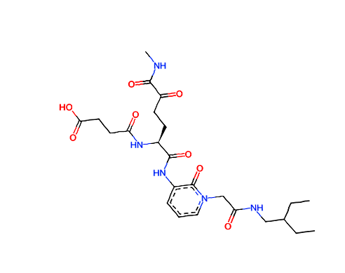 CCC(CC)CNC(=O)Cn1cccc(NC(=O)[C@H](CCC(=O)C(=O)NC)NC(=O)CCC(=O)O)c1=O